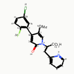 COc1cn(C(Cc2ccccn2)C(=O)O)c(=O)cc1-c1cc(Cl)ccc1F